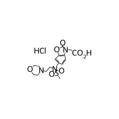 CS(=O)(=O)N(CCN1CCOCC1)c1ccc2c(c1)oc(=O)n2CC(=O)O.Cl